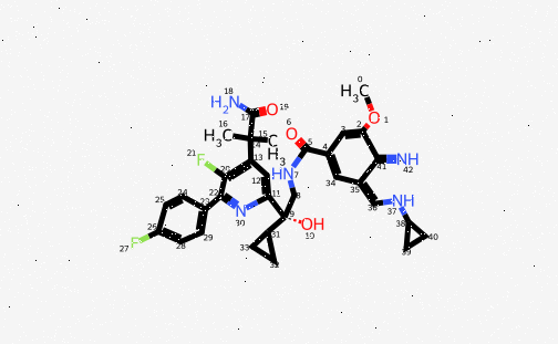 COC1=CC(C(=O)NC[C@](O)(c2cc(C(C)(C)C(N)=O)c(F)c(-c3ccc(F)cc3)n2)C2CC2)=C/C(=C/NC2CC2)C1=N